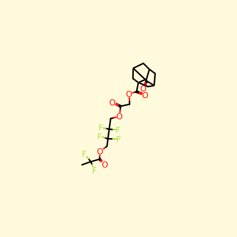 CC(F)(F)C(=O)OCC(F)(F)C(F)(F)COC(=O)COC(=O)C12CC3CC(C1)C(=O)C(C3)C2